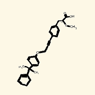 CO[C@@H](Cc1ccc(C#CCOc2ccc(C(C)(C)c3ccccc3)cc2)cc1)C(=O)O